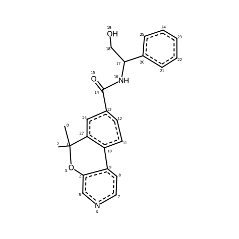 CC1(C)Oc2cnccc2-c2ccc(C(=O)NC(CO)c3ccccc3)cc21